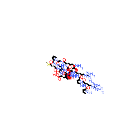 CSCC[C@H](NC(=O)[C@@H]1CCCN1C(=O)CNC(=O)[C@H](CCCCN)NC(=O)[C@H](Cc1cnc[nH]1)NC(=O)[C@H](CO)NC(=O)[C@H](CC(C)C)NC(=O)[C@H](CCCN=C(N)N)NC(=O)[C@@H]1CCCN1C(=O)[C@H](CCCN=C(N)N)NC(=O)[C@@H]1CCCN1)C(=O)N1CCC[C@H]1C(=O)N[C@@H](Cc1ccccc1)C(=O)O